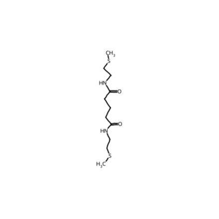 CSCCNC(=O)CCCC(=O)NCCSC